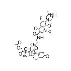 COc1c(N2CCNC(C)C2)c(F)cc2c(=O)c(C(=O)NCCC(=O)O[C@H]3C[C@@]4(C)C(C[C@H](C)[C@]4(O)C(=O)COC(C)=O)C4CCC5=CC(=O)C=C[C@]5(C)[C@]43F)cn(C3CC3)c12